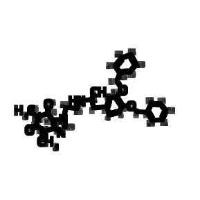 CC(Cc1ccc(OCc2ccccc2)c(OCc2ccccc2)c1)NCCn1cnc2c1c(=O)n(C)c(=O)n2C